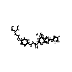 CCN(CC)CCOc1ccc(CCNc2nc(N)n3nc(-c4ccco4)nc3n2)cc1